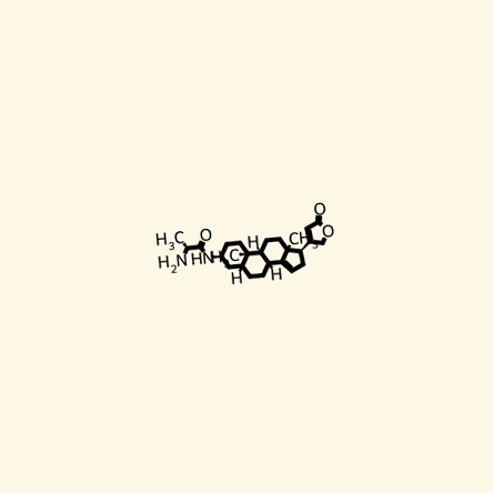 C[C@H](N)C(=O)N[C@H]1CC[C@@]2(C)[C@H](CC[C@H]3C4=CC[C@H](C5=CC(=O)OC5)[C@@]4(C)CC[C@@H]32)C1